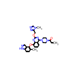 C=CC(=O)N1CCN(c2nc(OCc3nncn3C)nc3c(Oc4c(C)ccc5[nH]ncc45)cccc23)CC1